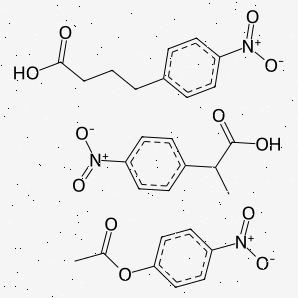 CC(=O)Oc1ccc([N+](=O)[O-])cc1.CC(C(=O)O)c1ccc([N+](=O)[O-])cc1.O=C(O)CCCc1ccc([N+](=O)[O-])cc1